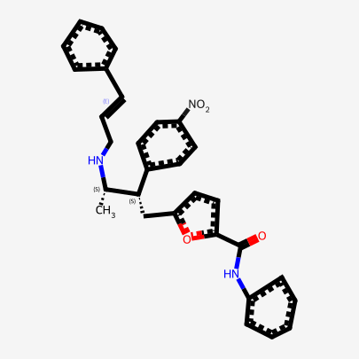 C[C@H](NC/C=C/c1ccccc1)[C@@H](Cc1ccc(C(=O)Nc2ccccc2)o1)c1ccc([N+](=O)[O-])cc1